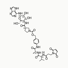 CC(C)[C@H](NC(=O)CCN1C(=O)C=CC1=O)C(=O)N[C@@H](C)C(=O)Nc1ccc(COC(=O)N2CC[C@@H](C(=O)N[C@@H]3[C@@H](O)[C@H](O)[C@@H](Nc4ncnc5nc[nH]c45)O[C@H]3CO)C2)cc1